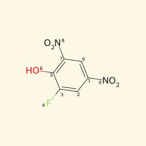 O=[N+]([O-])c1cc(F)c(O)c([N+](=O)[O-])c1